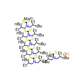 CCCCC(CC)CN(CC(CC)CCCC)C(=S)[S-].CCCCC(CC)CN(CC(CC)CCCC)C(=S)[S-].CCCCC(CC)CN(CC(CC)CCCC)C(=S)[S-].CCCCC(CC)CN(CC(CC)CCCC)C(=S)[S-].CCCCC(CC)CN(CC(CC)CCCC)C(=S)[S-].CCCCC(CC)CN(CC(CC)CCCC)C(=S)[S-].O=S.[Mo+6]